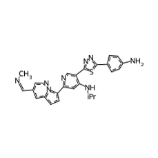 C/N=C\c1cnn2c(-c3cc(NC(C)C)c(-c4nnc(-c5ccc(N)cc5)s4)cn3)ccc2c1